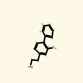 CC(=O)CCc1ccc(-c2ccccc2)c(F)c1